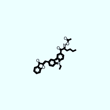 CCCC/C(=N\OC(C)=O)C(=O)c1ccc2c(c1)c1cc(/C=C3\Oc4ccccc4C3=O)ccc1n2CC